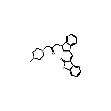 CN1CCN(CC(=O)Cn2cc(C=C3C(=O)Nc4ccccc43)c3ccccc32)CC1